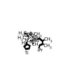 CC(=CC(C)C)C(C)=CC(C)C.CCCC[Si](C)(C)P(=NC1=CC=CC1)([Si](C)(C)CCCC)[Si](C)(C)CCCC.[Ti]